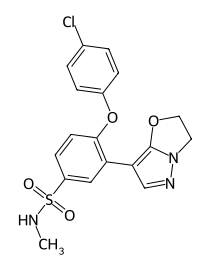 CNS(=O)(=O)c1ccc(Oc2ccc(Cl)cc2)c(-c2cnn3c2OCC3)c1